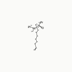 C=CCCCCCC[C@@](C)(C(=O)C(C)C)N(C)C(C)C